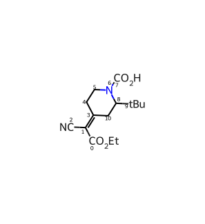 CCOC(=O)/C(C#N)=C1/CCN(C(=O)O)C(C(C)(C)C)C1